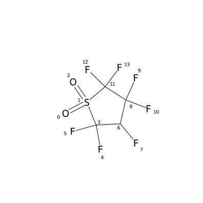 O=S1(=O)C(F)(F)C(F)C(F)(F)C1(F)F